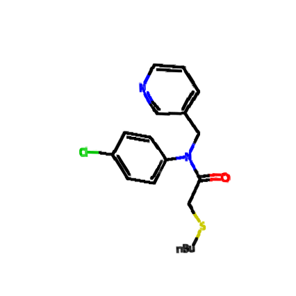 CCCCSCC(=O)N(Cc1cccnc1)c1ccc(Cl)cc1